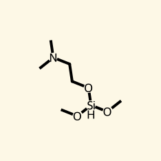 CO[SiH](OC)OCCN(C)C